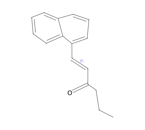 CCCC(=O)/C=C/c1cccc2ccccc12